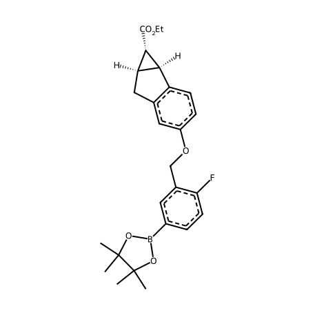 CCOC(=O)[C@H]1[C@@H]2Cc3cc(OCc4cc(B5OC(C)(C)C(C)(C)O5)ccc4F)ccc3[C@@H]21